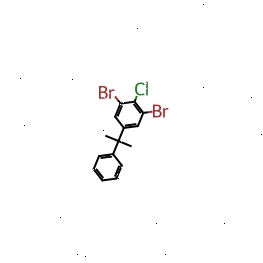 CC(C)(c1ccccc1)c1cc(Br)c(Cl)c(Br)c1